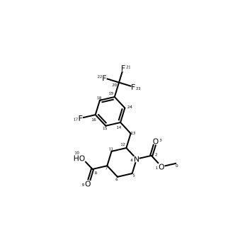 COC(=O)N1CCC(C(=O)O)CC1Cc1cc(F)cc(C(F)(F)F)c1